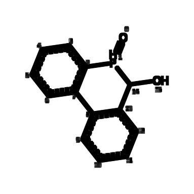 O=[PH]1c2ccccc2-c2ccccc2C1O